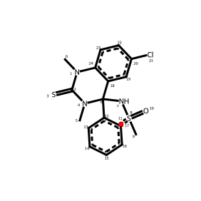 CN1C(=S)N(C)C(NS(C)(=O)=O)(c2ccccc2)c2cc(Cl)ccc21